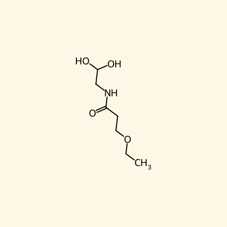 CCOCCC(=O)NCC(O)O